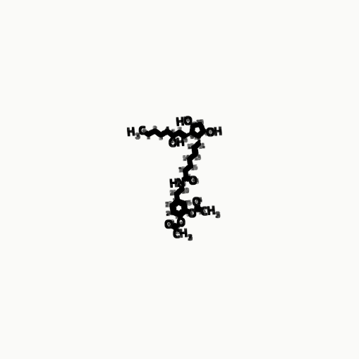 CCCCCC(O)C=C[C@@H]1[C@@H](CC=CCCCC(=O)NCCc2ccc(OC(C)=O)c(OC(C)=O)c2)[C@@H](O)C[C@H]1O